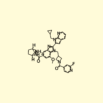 COc1cc(C(=O)N2C[C@H]3CC[C@@H]2[C@@H]3N)cc2nc(-c3cc4cccnc4n3CC3CC3)n(CC3CN(C(=O)c4ccnc(F)c4)C3)c12